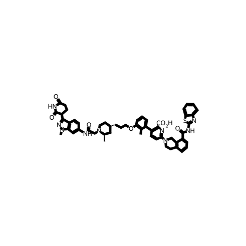 Cc1c(OCCC[C@H]2CCN(CC(=O)Nc3ccc4c(C5CCC(=O)NC5=O)nn(C)c4c3)[C@H](C)C2)cccc1-c1ccc(N2CCc3cccc(C(=O)Nc4nc5ccccc5s4)c3C2)nc1C(=O)O